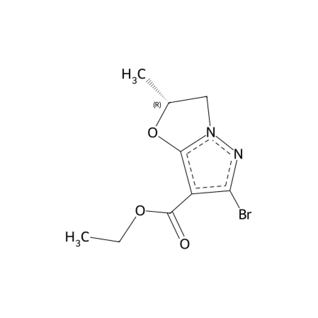 CCOC(=O)c1c(Br)nn2c1O[C@H](C)C2